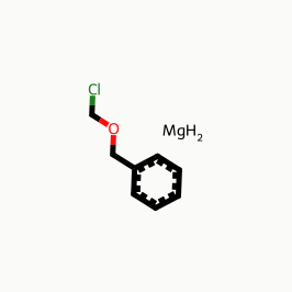 ClCOCc1ccccc1.[MgH2]